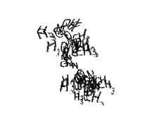 Cc1nn(C(=O)OC(C)(C)C)c(Nc2ncnc3cc(OCCCN4CCN(C(=O)c5cnc(N6CCN(C[C@H]7CN(C(=O)OC(C)(C)C)[C@H](C)CN7CC(=O)N7CC(C)(C)c8ncc(C(O)c9ccc(F)cc9)cc87)[C@H](C)C6)nc5)CC4)c(S(=O)(=O)C(C)(C)C)cc23)c1C